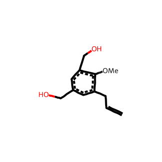 C=CCc1cc(CO)cc(CO)c1OC